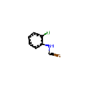 S=CNc1ccccc1Cl